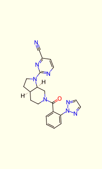 N#Cc1ccnc(N2CC[C@@H]3CCN(C(=O)c4ccccc4-n4nccn4)C[C@@H]32)n1